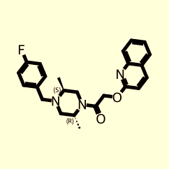 C[C@@H]1CN(Cc2ccc(F)cc2)[C@@H](C)CN1C(=O)COc1ccc2ccccc2n1